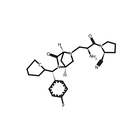 N#C[C@@H]1CCCN1C(=O)[C@@H](N)CN1C[C@@H]2C[C@H]1C(=O)N2[C@H](c1ccc(F)cc1)C1CCCCC1